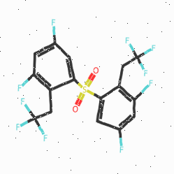 O=S(=O)(c1cc(F)cc(F)c1CC(F)(F)F)c1cc(F)cc(F)c1CC(F)(F)F